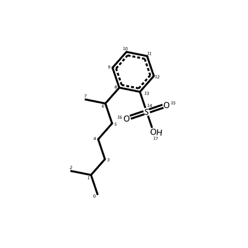 CC(C)CCCC(C)c1ccccc1S(=O)(=O)O